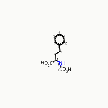 O=C(O)N[C@H](CCc1ccccc1)C(=O)O